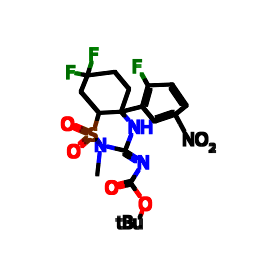 CN1/C(=N\C(=O)OC(C)(C)C)NC2(c3cc([N+](=O)[O-])ccc3F)CCC(F)(F)CC2S1(=O)=O